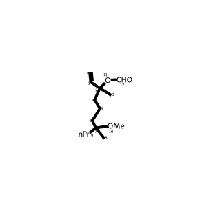 C=CC(C)(CCCC(C)(CCC)OC)OC=O